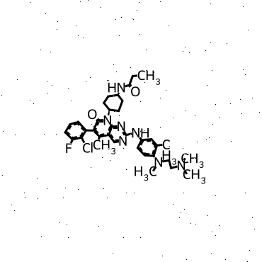 CCC(=O)N[C@H]1CC[C@@H](n2c(=O)c(-c3cccc(F)c3Cl)c(C)c3cnc(Nc4ccc(N(C)CCN(C)C)c(C)c4)nc32)CC1